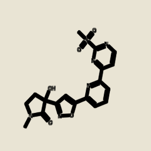 CN1CCC(O)(c2cc(-c3cccc(-c4ccnc(S(C)(=O)=O)n4)n3)on2)C1=O